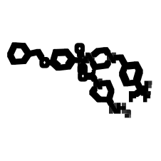 NC1CCN(C(=O)[C@H]2CN(Cc3ccc(C(F)(F)F)cc3)CCN2S(=O)(=O)c2ccc(OCC3CCCCC3)cc2)CC1